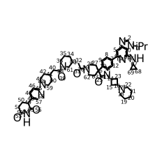 CC(C)n1cnc2cc(-c3ccc4c(c3)N([C@H]3C[C@@H](N5CCCCC5)C3)C(=O)C43CCN(C(=O)C[C@H]4CCCN(C(=O)CC5CCN(c6ccc(C7CCC(=O)NC7=O)cn6)CC5)C4)CC3)nc(NC3CC3)c21